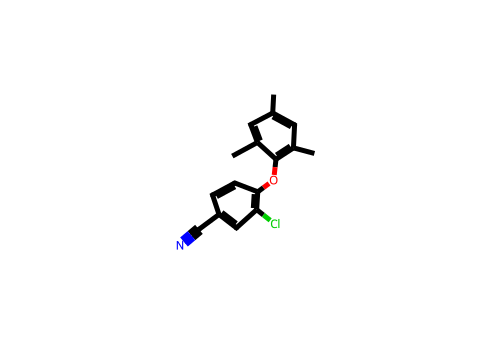 Cc1cc(C)c(Oc2ccc(C#N)cc2Cl)c(C)c1